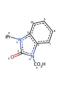 CC(C)n1c(=O)n(C(=O)O)c2ccccc21